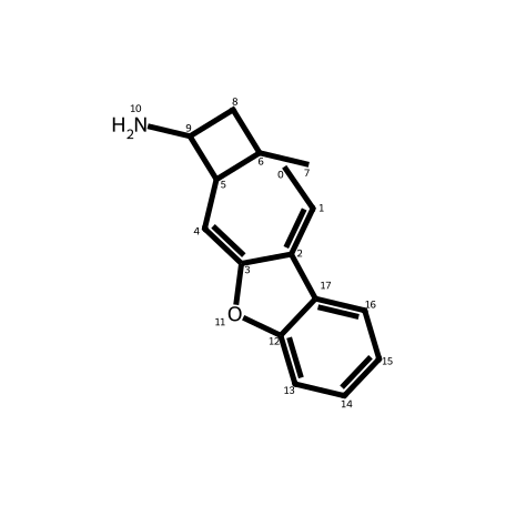 C/C=c1\c(=C/C2C(C)CC2N)oc2ccccc12